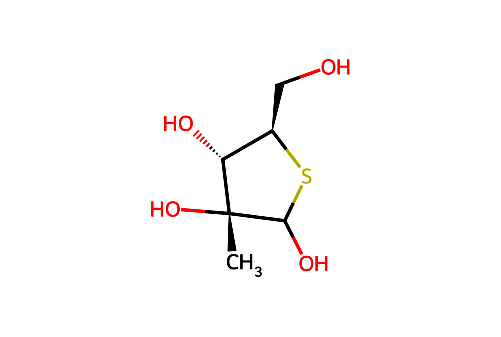 C[C@]1(O)C(O)S[C@H](CO)[C@H]1O